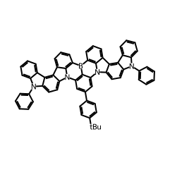 CC(C)(C)c1ccc(-c2cc3c4c(c2)-n2c5ccc6c(c7ccccc7n6-c6ccccc6)c5c5cccc(c52)B4c2cccc4c5c6c7ccccc7n(-c7ccccc7)c6ccc5n-3c24)cc1